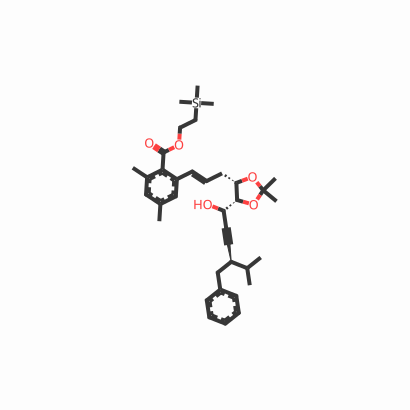 Cc1cc(C)c(C(=O)OCC[Si](C)(C)C)c(/C=C/C[C@@H]2OC(C)(C)O[C@@H]2C(O)C#C[C@H](Cc2ccccc2)C(C)C)c1